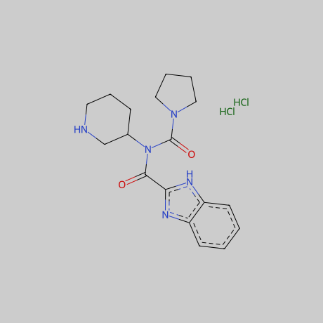 Cl.Cl.O=C(c1nc2ccccc2[nH]1)N(C(=O)N1CCCC1)C1CCCNC1